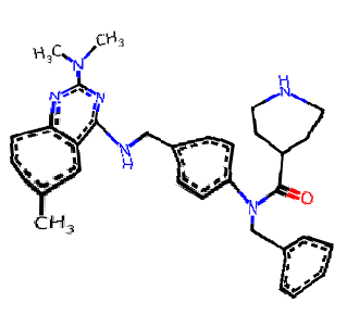 Cc1ccc2nc(N(C)C)nc(NCc3ccc(N(Cc4ccccc4)C(=O)C4CCNCC4)cc3)c2c1